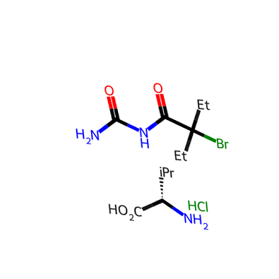 CC(C)[C@H](N)C(=O)O.CCC(Br)(CC)C(=O)NC(N)=O.Cl